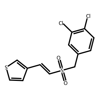 O=S(=O)(C=Cc1ccsc1)Cc1ccc(Cl)c(Cl)c1